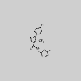 Cc1cccc(CNC(=O)c2cnn(-c3ccc(Cl)cc3)c2C(F)(F)F)c1